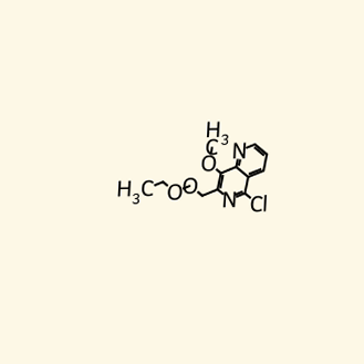 CCOOCc1nc(Cl)c2cccnc2c1OC